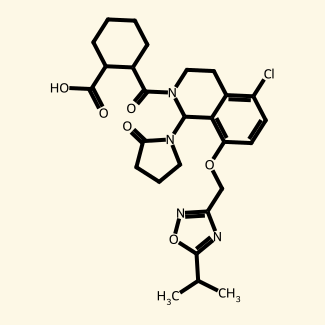 CC(C)c1nc(COc2ccc(Cl)c3c2C(N2CCCC2=O)N(C(=O)C2CCCCC2C(=O)O)CC3)no1